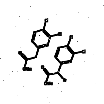 COC(=O)C(Br)c1ccc(Cl)c(Cl)c1.COC(=O)Cc1ccc(Cl)c(Cl)c1